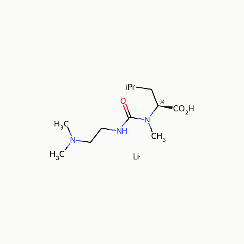 CC(C)C[C@@H](C(=O)O)N(C)C(=O)NCCN(C)C.[Li]